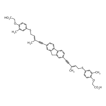 C/C(C#Cc1ccc2c(c1)Cc1cc(C#C/C(C)=C/CSc3ccc(OCC(=O)O)c(C)c3)ccc1-2)=C\CSc1ccc(OCC(=O)O)c(C)c1